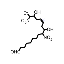 CCC(C(O)C/C=C\CC(O)C(CCCCCCCC=O)[N+](=O)[O-])[N+](=O)[O-]